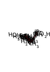 C=C(C)[C@@H]1CC[C@]2(C(=O)NCCCCCCCC(=O)NC(CC(C)C)C(=O)O)CC[C@]3(C)[C@H](CCC4[C@@]5(C)CCC(OC(=O)CC(C)(C)C(=O)O)C(C)(C)[C@@H]5CC[C@]43C)[C@@H]12